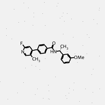 COc1cccc([C@@H](C)NC(=O)c2ccc(-c3cc(F)ncc3C)cc2)c1